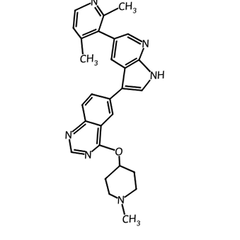 Cc1ccnc(C)c1-c1cnc2[nH]cc(-c3ccc4ncnc(OC5CCN(C)CC5)c4c3)c2c1